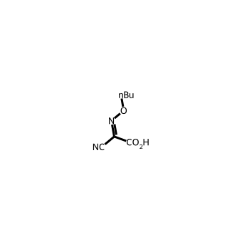 CCCCON=C(C#N)C(=O)O